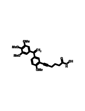 C=C(c1ccc(OC)c(C#CCCCC(=O)NO)c1)c1cc(OC)c(OC)c(OC)c1